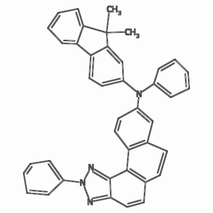 CC1(C)c2ccccc2-c2ccc(N(c3ccccc3)c3ccc4c(ccc5ccc6nn(-c7ccccc7)nc6c54)c3)cc21